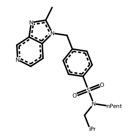 CCCCCN(CC(C)C)S(=O)(=O)c1ccc(Cn2c(C)nc3cnccc32)cc1